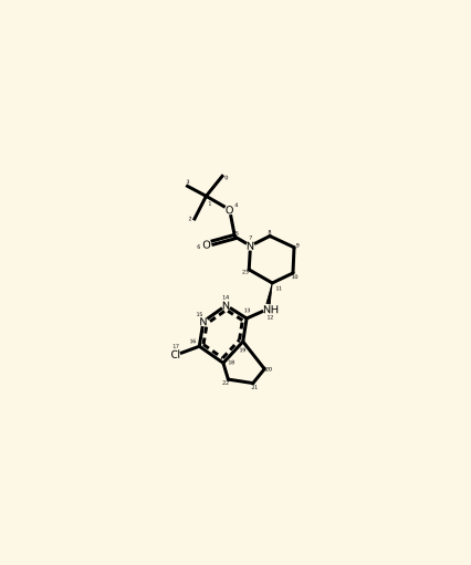 CC(C)(C)OC(=O)N1CCC[C@@H](Nc2nnc(Cl)c3c2CCC3)C1